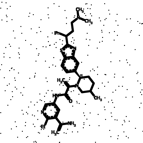 C=C(N)c1cc(NC(=O)C(=C)N2CC(C)CC[C@@H]2c2ccc3sc(C(CCN(C)C)C(C)C)nc3c2)cnc1CC